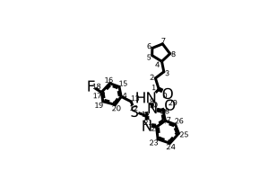 O=C(CCC1CCCC1)Nn1c(SCc2ccc(F)cc2)nc2ccccc2c1=O